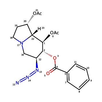 CC(=O)O[C@H]1[C@H](OC(=O)c2ccccc2)[C@@H](N=[N+]=[N-])CN2CC[C@H](OC(C)=O)[C@H]12